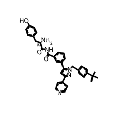 CC(C)(C)c1ccc(Cn2nc(-c3ccncc3)cc2-c2cccc(C(=O)NC(=O)[C@@H](N)Cc3ccc(O)cc3)c2)cc1